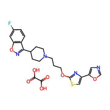 Fc1ccc2c(C3CCN(CCCOc4nc(-c5cnco5)cs4)CC3)noc2c1.O=C(O)C(=O)O